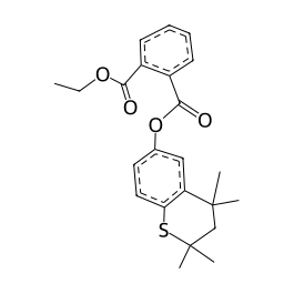 CCOC(=O)c1ccccc1C(=O)Oc1ccc2c(c1)C(C)(C)CC(C)(C)S2